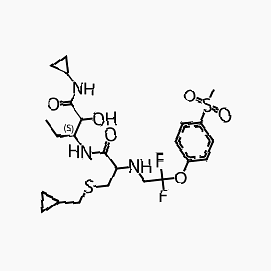 CC[C@H](NC(=O)C(CSCC1CC1)NCC(F)(F)Oc1ccc(S(C)(=O)=O)cc1)C(O)C(=O)NC1CC1